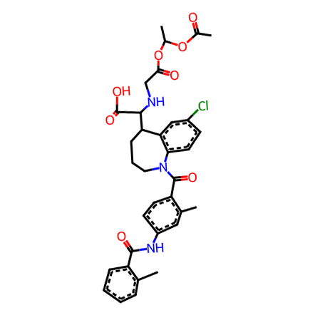 CC(=O)OC(C)OC(=O)CNC(C(=O)O)C1CCCN(C(=O)c2ccc(NC(=O)c3ccccc3C)cc2C)c2ccc(Cl)cc21